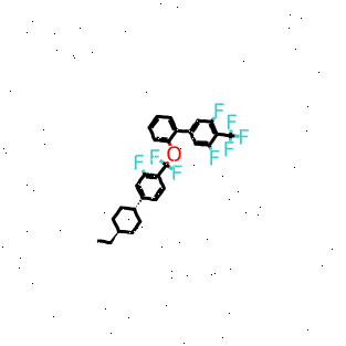 CC[C@H]1CC[C@H](c2ccc(C(F)(F)Oc3ccccc3-c3cc(F)c(C(F)(F)F)c(F)c3)c(F)c2)CC1